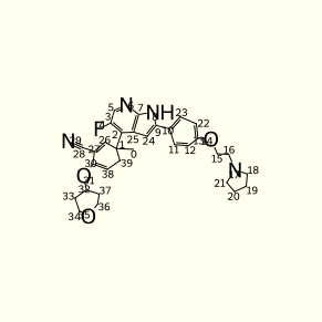 CC1(c2c(F)cnc3[nH]c(-c4ccc(OCCN5CCCC5)cc4)cc23)C=C(C#N)C(OC2CCOCC2)=CC1